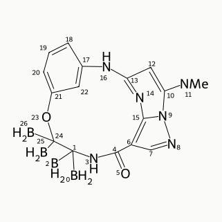 BC1(B)NC(=O)c2cnn3c(NC)cc(nc23)Nc2cccc(c2)OC1(B)B